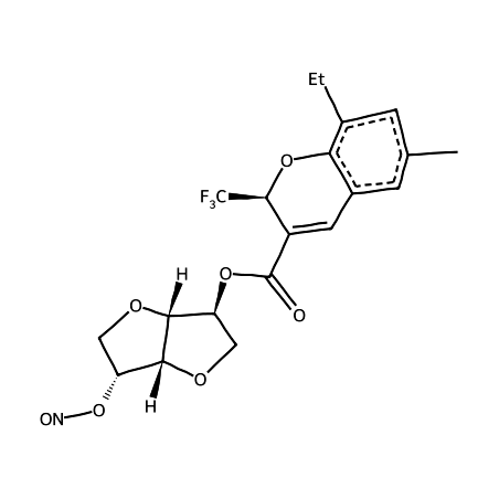 CCc1cc(C)cc2c1O[C@H](C(F)(F)F)C(C(=O)O[C@H]1CO[C@H]3[C@@H]1OC[C@H]3ON=O)=C2